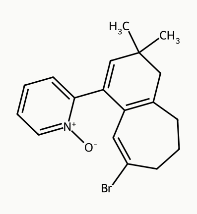 CC1(C)C=C(c2cccc[n+]2[O-])C2=C(CCCC(Br)=C2)C1